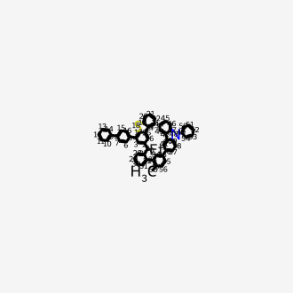 CCC(c1cc(-c2ccc(-c3ccccc3)cc2)c2sc3ccccc3c2c1)c1ccccc1-c1cc(-c2ccc3c(c2)c2ccccc2n3-c2ccccc2)ccc1C